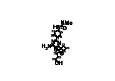 CNC(=O)Nc1ccc(-c2nc(N)cc(C3(S(=O)(=O)CCCO)CCC3)n2)cc1